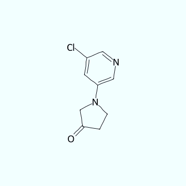 O=C1CCN(c2cncc(Cl)c2)C1